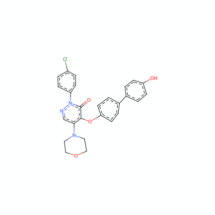 O=c1c(Oc2ccc(-c3ccc(O)cc3)cc2)c(N2CCOCC2)cnn1-c1ccc(Cl)cc1